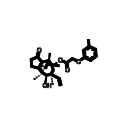 C=C[C@]1(C)C[C@@H](OC(=O)COc2cccc(C)c2)[C@]2(C)C(C)CCC3(CCC(=O)C32)[C@@H](C)[C@@H]1O